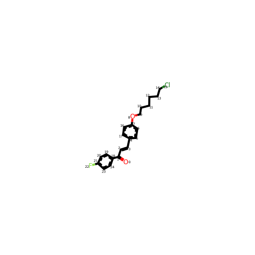 O=C(C=Cc1ccc(OCCCCCCCl)cc1)c1ccc(F)cc1